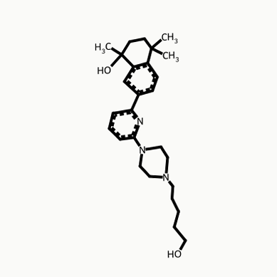 CC1(C)CCC(C)(O)c2cc(-c3cccc(N4CCN(CCCCCO)CC4)n3)ccc21